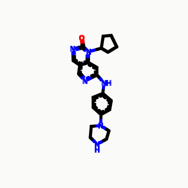 O=c1ncc2cnc(Nc3ccc(N4CCNCC4)cc3)cc2n1C1CCCC1